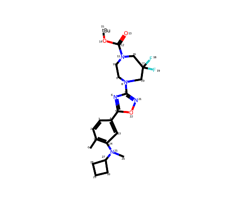 Cc1ccc(-c2nc(N3CCN(C(=O)OC(C)(C)C)CC(F)(F)C3)no2)cc1N(C)C1CCC1